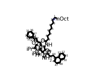 CCCCCCCC/C=C\CCCCCCCC(=O)N[C@@H](CCCCN)C(=O)[C@](CC(C)C)(C(=O)N[C@H](C(=O)OCc1ccccc1)C(C)C)N(N)C(=O)CCc1cccc2ccccc12